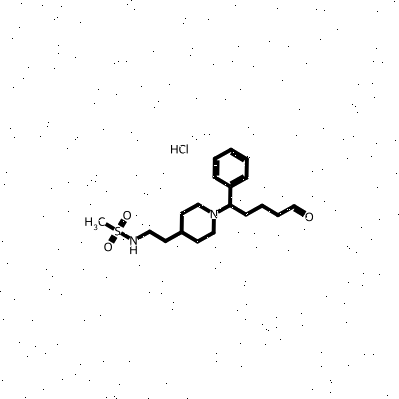 CS(=O)(=O)NCCC1CCN(C(CCCC=O)c2ccccc2)CC1.Cl